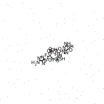 COP1(=O)OC[C@H]2O[C@@H](n3cnc4c(=O)[nH]c(N)nc43)[C@@H](O[P@@](=O)(S)OC[C@H]3OC(n4cnc5c(N)ncnc54)C(F)C3O1)[C@H]2O